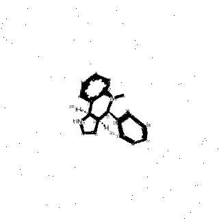 CN1c2ccccc2[C@@H]2NCC[C@@H]2[C@@H]1C1C=CC=CC1